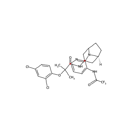 CC(C)(Oc1ccc(Cl)cc1Cl)C(=O)NC1CC2CC[C@@H](C1)N2c1ncccc1NC(=O)C(F)(F)F